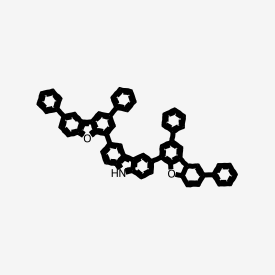 C1=CC2Oc3c(-c4ccc5[nH]c6ccc(-c7cc(-c8ccccc8)cc8c7oc7ccc(-c9ccccc9)cc78)cc6c5c4)cc(-c4ccccc4)cc3C2C=C1c1ccccc1